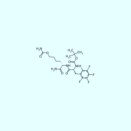 CC(C)(C)OC(=O)N[C@@H](Cc1c(F)c(F)c(F)c(F)c1F)C(=O)N[C@@H](CCCCOC(N)=O)C(N)=O